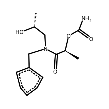 C[C@H](OC(N)=O)C(=O)N(Cc1ccccc1)C[C@@H](C)O